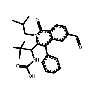 CC(C)Cn1c(C(NC(=O)O)C(C)(C)C)c(-c2ccccc2)c2cc(C=O)ccc2c1=O